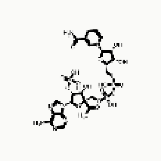 CC(=O)[C@]1(COP(=O)(O)OP(=O)(O)OC[C@H]2O[C@@H](N3C=CCC(C(N)=O)=C3)[C@H](O)[C@@H]2O)O[C@@H](n2cnc3c(N)ncnc32)[C@H](OP(=O)(O)O)[C@H]1O